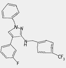 Fc1cccc(-c2cn(-c3ccccc3)nc2NCc2ccc(C(F)(F)F)cc2)c1